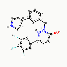 O=c1ccc(-c2cc(F)c(F)c(F)c2)nn1Cc1cccc(-c2ccncc2)c1